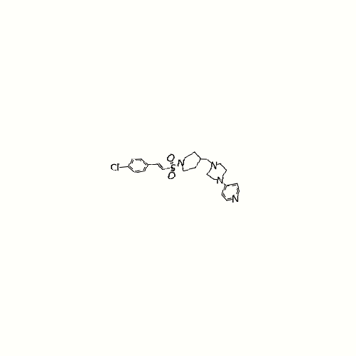 O=S(=O)(C=Cc1ccc(Cl)cc1)N1CCC(CN2CCN(c3ccncc3)CC2)CC1